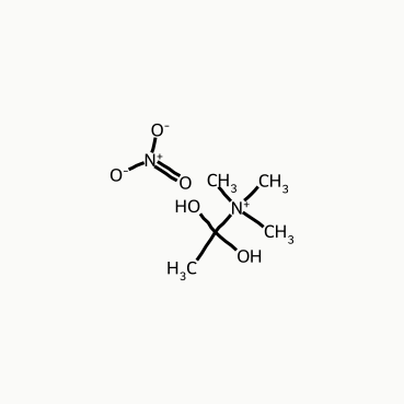 CC(O)(O)[N+](C)(C)C.O=[N+]([O-])[O-]